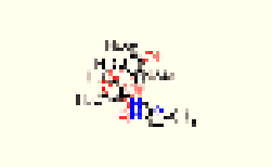 CN[C@H]1[C@@H](O)[C@@H](NC)C[C@@]2(C)O[C@]3(C)O[C@H](C)C[C@@](O)(CNCc4cccc(C)n4)[C@]3(O)O[C@H]12